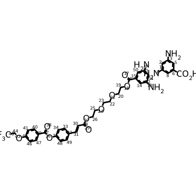 Nc1cc(N)cc(C(=O)O)c1.Nc1cc(N)cc(C(=O)OCCOCCOCCOC(=O)C=Cc2ccc(OC(=O)c3ccc(OCC(F)(F)F)cc3)cc2)c1